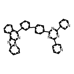 c1cncc(-c2nc(-c3ccc(-c4cccc(-c5nc6c(nc7ccccn76)c6ccccc56)c4)cc3)nc(-c3cccnc3)n2)c1